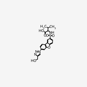 CC(C)[C@@H](NS(=O)(=O)c1ccc2oc3cc(-n4cc(CO)nn4)ccc3c2c1)C(=O)O